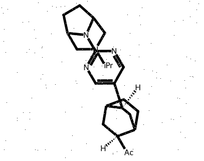 CC(=O)[C@H]1CC2CCC1C[C@@H]2c1cnc(N2C3CCC2CN(C(C)C)C3)nc1